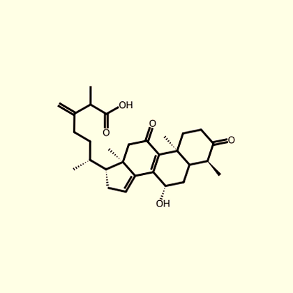 C=C(CC[C@@H](C)[C@H]1CC=C2C3=C(C(=O)C[C@@]21C)[C@@]1(C)CCC(=O)[C@@H](C)C1C[C@@H]3O)C(C)C(=O)O